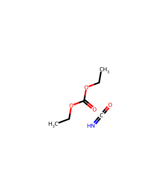 CCOC(=O)OCC.N=C=O